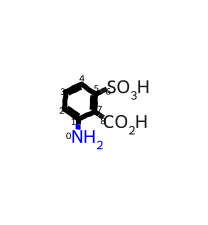 Nc1cccc(S(=O)(=O)O)c1C(=O)O